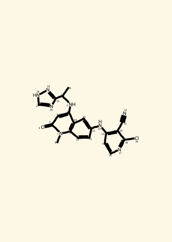 CC(Nc1cc(=O)n(C)c2ccc(Nc3ccnc(Cl)c3C#N)cc12)c1nc[nH]n1